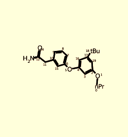 CCCOc1cc(Oc2cccc(CC(N)=O)c2)cc(C(C)(C)C)c1